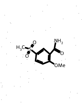 COc1ccc(S(C)(=O)=O)cc1C(N)=O